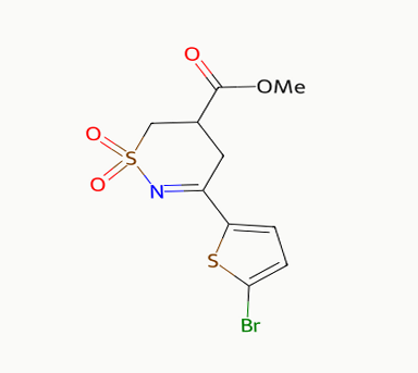 COC(=O)C1CC(c2ccc(Br)s2)=NS(=O)(=O)C1